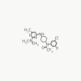 Cc1cc(NC2CCC(N(C(=O)C(F)(F)F)c3cc(F)cc(Cl)c3)CC2)nc(N(C)C)n1